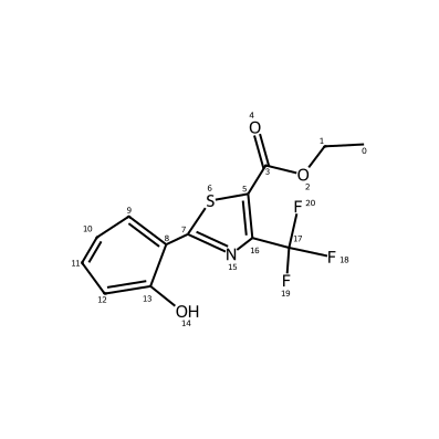 CCOC(=O)c1sc(-c2ccccc2O)nc1C(F)(F)F